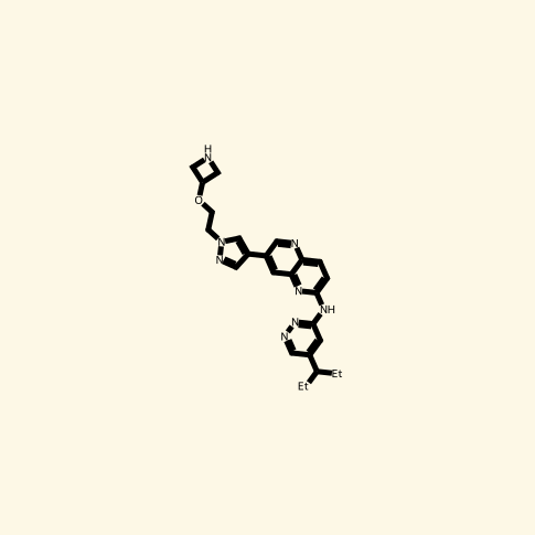 CCC(CC)c1cnnc(Nc2ccc3ncc(-c4cnn(CCOC5CNC5)c4)cc3n2)c1